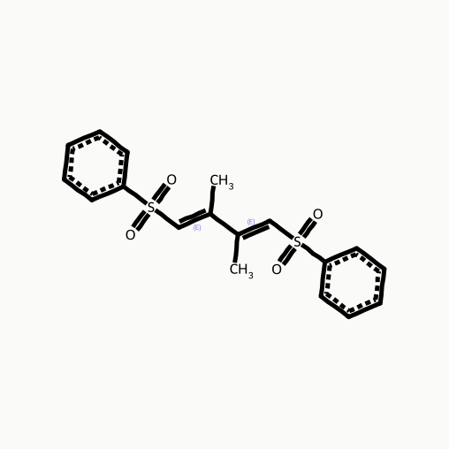 CC(=C\S(=O)(=O)c1ccccc1)/C(C)=C/S(=O)(=O)c1ccccc1